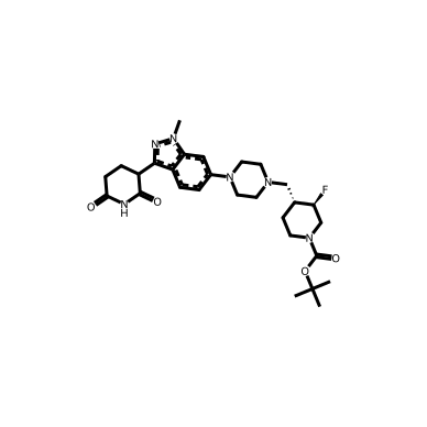 Cn1nc(C2CCC(=O)NC2=O)c2ccc(N3CCN(C[C@H]4CCN(C(=O)OC(C)(C)C)C[C@@H]4F)CC3)cc21